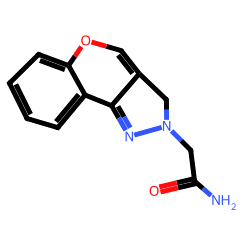 NC(=O)CN1CC2=COc3ccccc3C2=N1